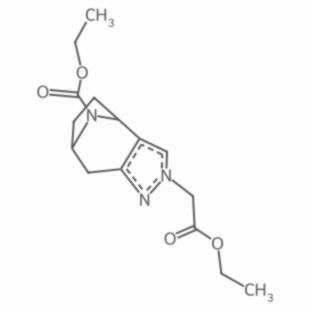 CCOC(=O)Cn1cc2c(n1)CC1CCC2N1C(=O)OCC